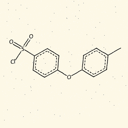 Cc1ccc(Oc2ccc(S(=O)(=O)Cl)cc2)cc1